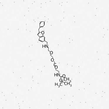 CC(C)(C)OC(=O)NCCOCCOCCOCCNCc1ccc2cc(Cc3ccccc3)oc2c1